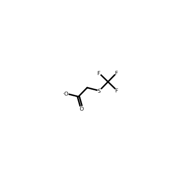 [O]C(=O)CSC(F)(F)F